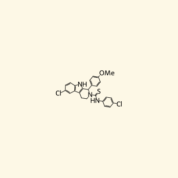 COc1ccc(C2c3[nH]c4ccc(Cl)cc4c3CCN2C(=S)Nc2ccc(Cl)cc2)cc1